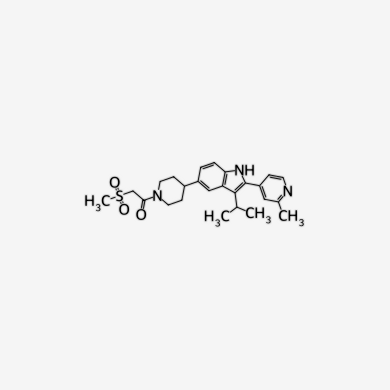 Cc1cc(-c2[nH]c3ccc(C4CCN(C(=O)CS(C)(=O)=O)CC4)cc3c2C(C)C)ccn1